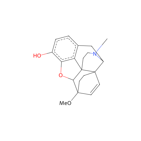 COC12C=CC3(CC1)C1Cc4ccc(O)c5c4C3(CCN1C)C2O5